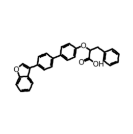 O=C(O)C(Cc1ccccc1)Oc1ccc(-c2ccc(-c3coc4ccccc34)cc2)cc1